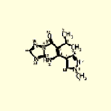 CC(C)c1c(-c2cnn(C)c2)[nH]c2ncnn2c1=O